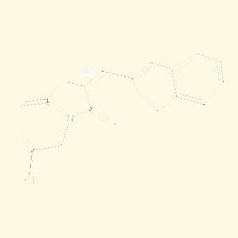 O=C(O)CN1C(=O)/C(=C\c2ccc3ccccc3c2)SC1=S